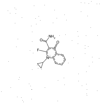 NC(=O)c1c(F)n(C2CC2)c2ccccc2c1=O